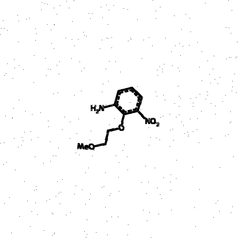 COCCOc1c(N)cccc1[N+](=O)[O-]